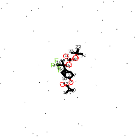 C=C(C)C(=O)OC1CC2CC1CC2C(C)(OC(=O)OC(C)(C)C)C(F)(F)F